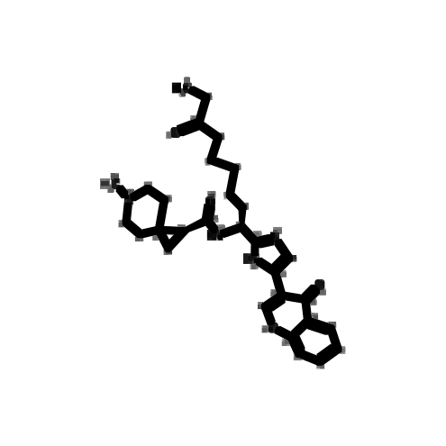 CCC(=O)CCCCC[C@H](NC(=O)[C@H]1CC12CCN(C)CC2)c1ncc(-c2coc3ccccc3c2=O)[nH]1